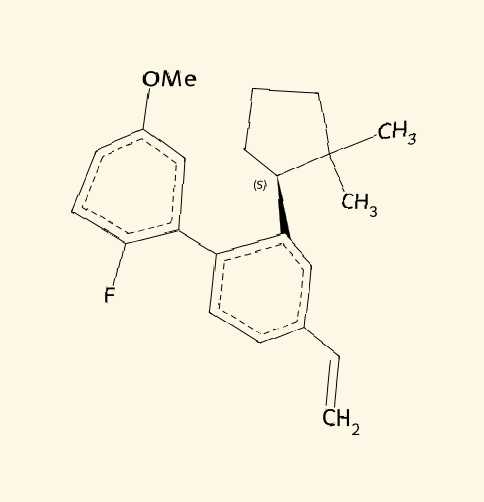 C=Cc1ccc(-c2cc(OC)ccc2F)c([C@H]2CCCC2(C)C)c1